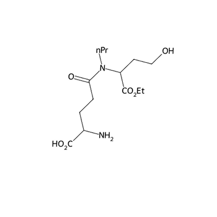 CCCN(C(=O)CCC(N)C(=O)O)C(CCO)C(=O)OCC